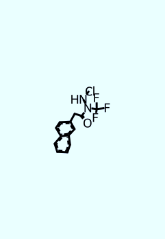 O=C(Cc1ccc2ccccc2c1)N(NCl)C(F)(F)F